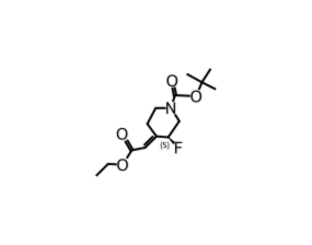 CCOC(=O)C=C1CCN(C(=O)OC(C)(C)C)C[C@H]1F